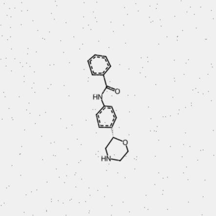 O=C(Nc1ccc([C@H]2CNCCO2)cc1)c1ccccc1